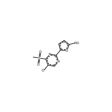 CS(=O)(=O)c1nc(-c2ccc(N=O)o2)ncc1Cl